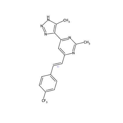 Cc1nc(/C=C/c2ccc(C(F)(F)F)cc2)cc(-c2nn[nH]c2C)n1